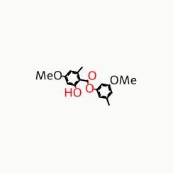 COc1cc(C)cc(OC(=O)c2c(C)cc(OC)cc2O)c1